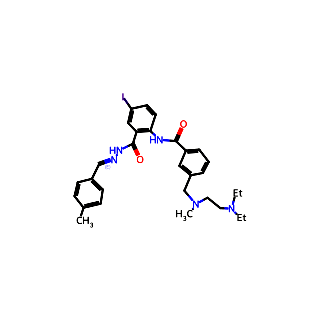 CCN(CC)CCN(C)Cc1cccc(C(=O)Nc2ccc(I)cc2C(=O)N/N=C/c2ccc(C)cc2)c1